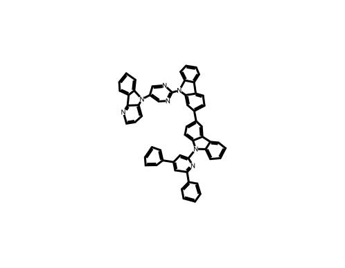 c1ccc(-c2cc(-c3ccccc3)nc(-n3c4ccccc4c4cc(-c5ccc6c7ccccc7n(-c7ncc(-n8c9ccccc9c9ncccc98)cn7)c6c5)ccc43)c2)cc1